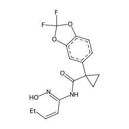 CC/C=C\C(=NO)NC(=O)C1(c2ccc3c(c2)OC(F)(F)O3)CC1